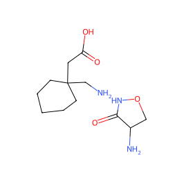 NC1CONC1=O.NCC1(CC(=O)O)CCCCC1